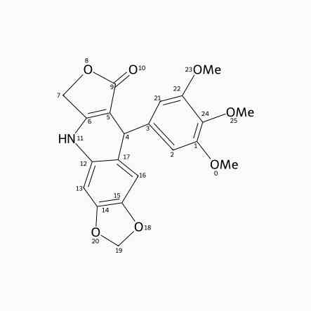 COc1cc(C2C3=C(COC3=O)Nc3cc4c(cc32)OCO4)cc(OC)c1OC